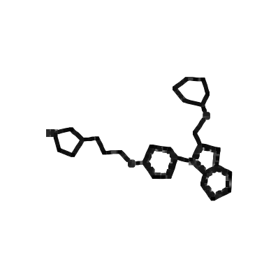 c1ccc2c(c1)cc(COC1CCCCC1)n2-c1ccc(OCCCC2CCNC2)cc1